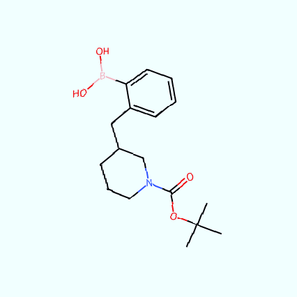 CC(C)(C)OC(=O)N1CCCC(Cc2ccccc2B(O)O)C1